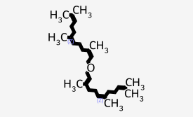 CC(C)=CCC/C(C)=C\CCC(C)=CCOCC=C(C)CC/C=C(/C)CCC=C(C)C